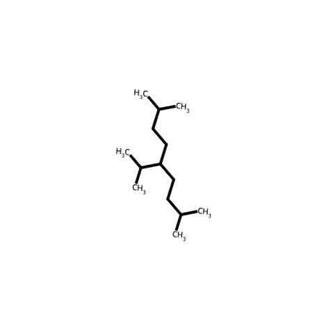 CC(C)CC[C](CCC(C)C)C(C)C